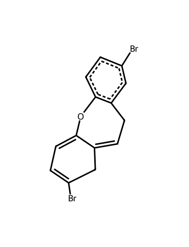 BrC1=CC=C2Oc3ccc(Br)cc3CC=C2C1